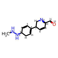 CNNC1C=CC(C2C=CC(C=O)=NC2)=CC1